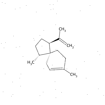 C=C(C)[C@@H]1CC[C@@H](C)[C@@]12CC=C(C)CC2